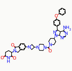 NC1=NC=NC2C1C(c1ccc(Oc3ccccc3)cc1)=NN2C1CCN(C(=O)N2CCN(C3CN(c4ccc5c(c4)CN(C4CCC(=O)NC4=O)C5=O)C3)CC2)CC1